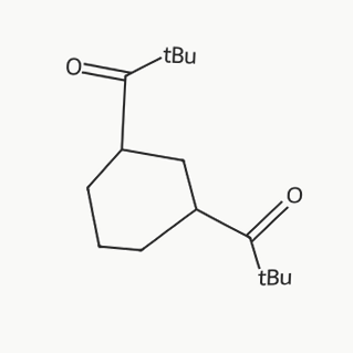 CC(C)(C)C(=O)C1CCCC(C(=O)C(C)(C)C)C1